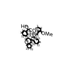 COc1ccsc1CNCC[C@@]1(c2ccccn2)CCOC2(CCCC2)C1.O=C(O)C(O)c1ccccc1